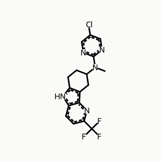 CN(c1ncc(Cl)cn1)C1CCc2[nH]c3ccc(C(F)(F)F)nc3c2C1